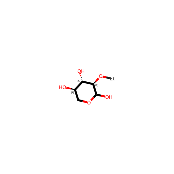 CCO[C@H]1C(O)OC[C@@H](O)[C@@H]1O